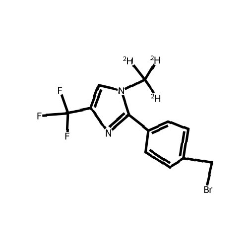 [2H]C([2H])([2H])n1cc(C(F)(F)F)nc1-c1ccc(CBr)cc1